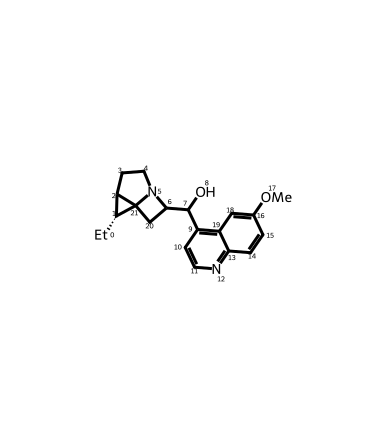 CC[C@@H]1C2CCN3C(C(O)c4ccnc5ccc(OC)cc45)CC213